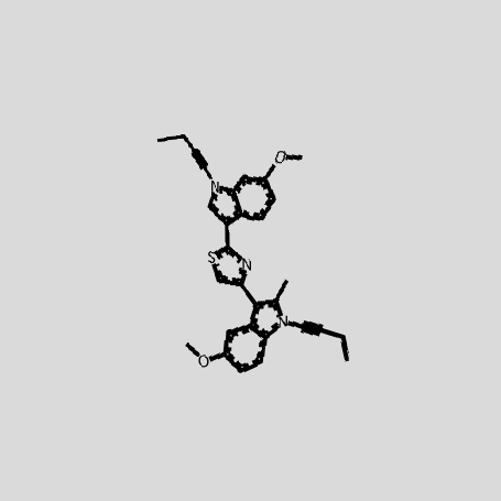 CCC#Cn1cc(-c2nc(-c3c(C)n(C#CCC)c4ccc(OC)cc34)cs2)c2ccc(OC)cc21